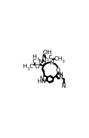 CC(C)Oc1nn(CCO)c2c1/C=C/c1n[nH]c3ccc(cc13)-c1cn(CC#N)nc1OCCN(C(C)C)C2